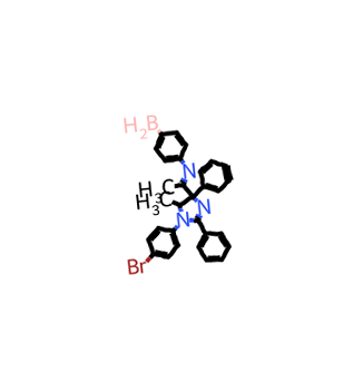 Bc1ccc(/N=C(\C)C2(c3cc#ccc3)N=C(c3ccccc3)N(c3ccc(Br)cc3)C2C)cc1